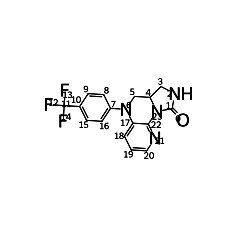 O=C1NCC2CN(c3ccc(C(F)(F)F)cc3)c3cccnc3N12